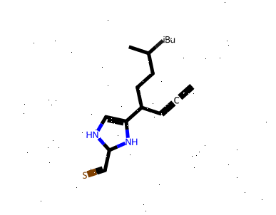 C=C=CC(CCC(C)C(C)CC)C1=CNC(C=S)N1